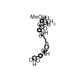 CCOc1cc(C(CS(C)(=O)=O)N2C(=O)c3cccc(NC(=O)CCCCCN4CCN(CC(=O)Nc5ccc(C6CCC(=O)NC6=O)cc5)CC4)c3C2=O)ccc1OC